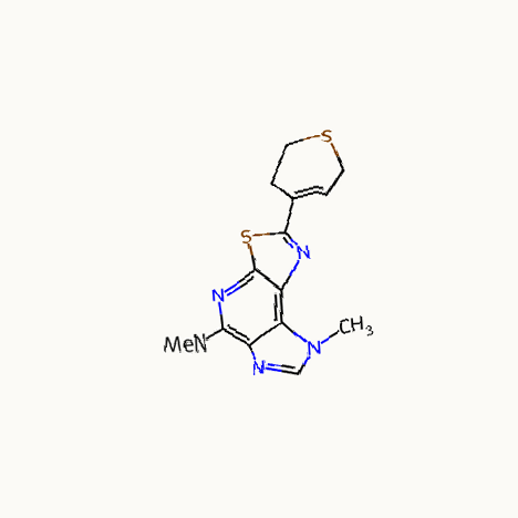 CNc1nc2sc(C3=CCSCC3)nc2c2c1ncn2C